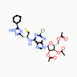 CC(=O)OC[C@H]1O[C@@H](n2cnc3c(N[C@@H](C=S)Cc4n[nH]c(-c5ccccc5)n4)nc(Cl)nc32)[C@H](OC(C)=O)[C@@H]1OC(C)=O